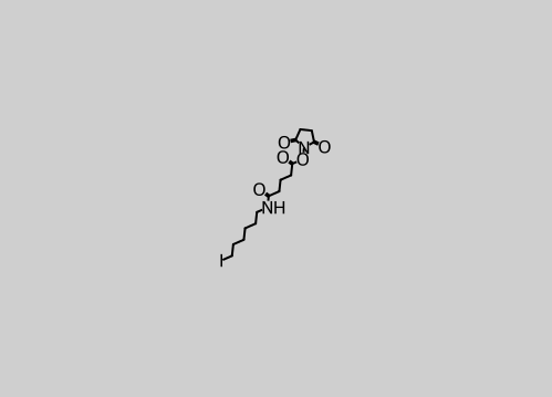 O=C(CCCC(=O)ON1C(=O)CCC1=O)NCCCCCCI